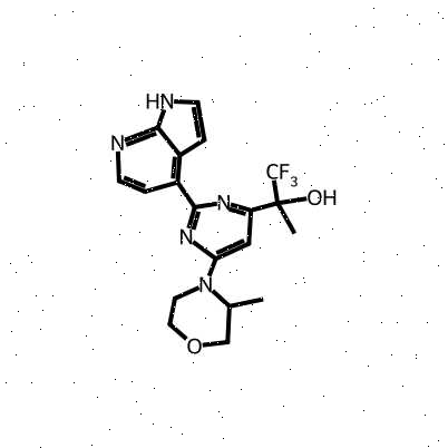 CC1COCCN1c1cc(C(C)(O)C(F)(F)F)nc(-c2ccnc3[nH]ccc23)n1